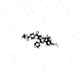 CC(C)(C)OC(=O)N1CCN(C(=O)c2c[nH]c(/C(=N\C(=N)c3cnc(N)cc3C(F)(F)F)N3CCOCC3)c2)CC1